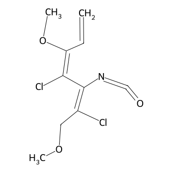 C=C/C(OC)=C(Cl)\C(N=C=O)=C(\Cl)COC